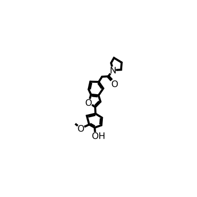 COc1cc(-c2cc3cc(CC(=O)N4CCCC4)ccc3o2)ccc1O